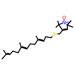 CC(C)=CCC/C(C)=C/CC/C(C)=C/CCSCC1=CC(C)(C)[NH+]([O-])C1(C)C